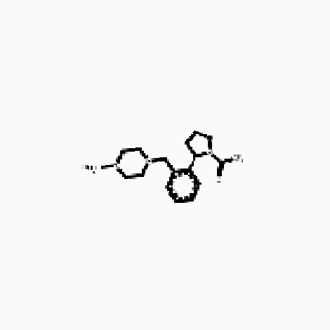 O=C(O)N1CCN(Cc2ccccc2[C@H]2CCCN2C(=O)C(F)(F)F)CC1